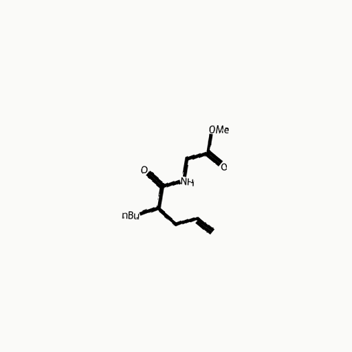 C=CCC(CCCC)C(=O)NCC(=O)OC